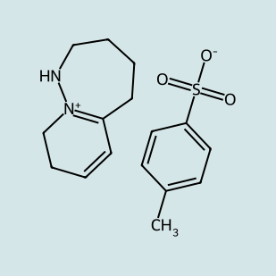 C1=CC2=[N+](CC1)NCCCC2.Cc1ccc(S(=O)(=O)[O-])cc1